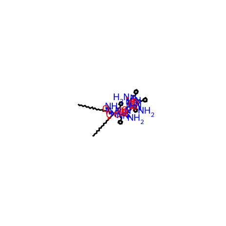 CCCCCCCCCCCCCCCCCCN(CC(N)=O)C(=O)CN(CCCCCCCCCCCCCCCCCC)C(=O)CN(CCc1ccccc1)C(=O)CN(CCc1ccccc1)C(=O)CN(CCN)C(=O)CN(CCc1ccccc1)C(=O)CN(CCc1ccccc1)C(=O)CN(CCN)C(=O)CN(CCc1ccccc1)C(=O)CN(CCc1ccccc1)C(=O)CNCCN